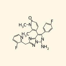 Cc1c(-c2c(-c3ccc(F)cc3)nc(N)n3nc(Cc4ncccc4F)nc23)ccc(=O)n1C